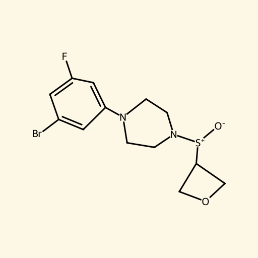 [O-][S+](C1COC1)N1CCN(c2cc(F)cc(Br)c2)CC1